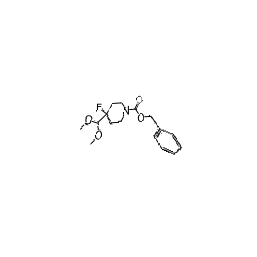 COC(OC)C1(F)CCN(C(=O)OCc2ccccc2)CC1